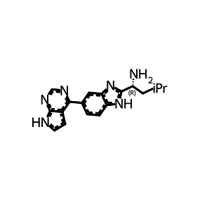 CC(C)C[C@@H](N)c1nc2cc(-c3ncnc4[nH]ccc34)ccc2[nH]1